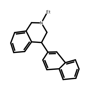 CCN1Cc2ccccc2C(c2ccc3ccccc3c2)C1